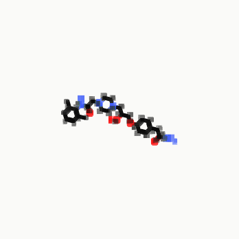 Cc1cccc(C)c1NC(=O)CN1CCN(CC(O)COc2ccc(CC(N)=O)cc2)CC1